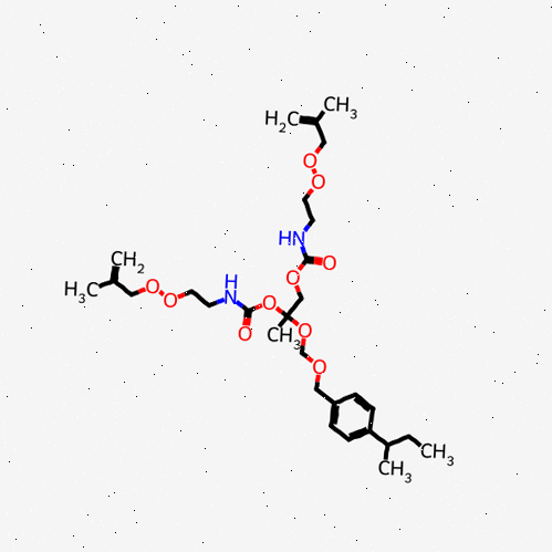 C=C(C)COOCCNC(=O)OCC(C)(OCOCc1ccc(C(C)CC)cc1)OC(=O)NCCOOCC(=C)C